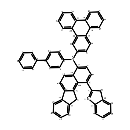 c1ccc(-c2ccc(N(c3ccc4c5ccccc5c5ccccc5c4c3)c3ccc(C4=Nc5ccccc5C4)c4c5c(ccc34)-c3ccccc3C5)cc2)cc1